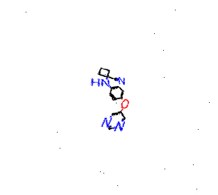 N#CC1(Nc2c#cc(Oc3cncnc3)cc2)CCC1